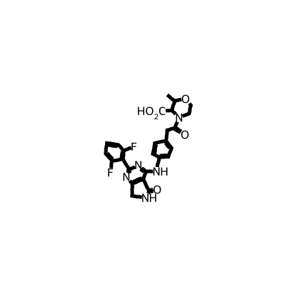 CC1OCCN(C(=O)Cc2ccc(Nc3nc(-c4c(F)cccc4F)nc4c3C(=O)NC4)cc2)C1C(=O)O